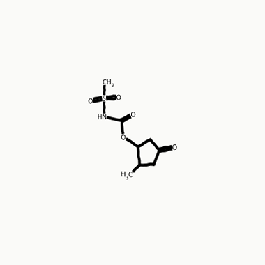 CC1CC(=O)CC1OC(=O)NS(C)(=O)=O